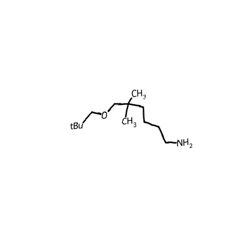 CC(C)(C)COCC(C)(C)CCCCN